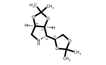 CC1(C)OC[C@H]([C@@H]2NC[C@H]3OC(C)(C)O[C@@H]23)O1